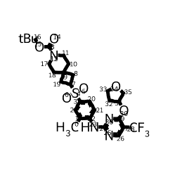 Cc1cc(S(=O)(=O)C2CC3(CCN(C(=O)OC(C)(C)C)CC3)C2)ccc1Nc1ncc(C(F)(F)F)c(OC2CCOC2)n1